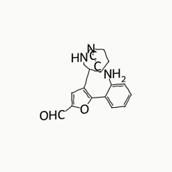 Nc1ccccc1-c1oc(C=O)cc1C1CNN2CCC1CC2